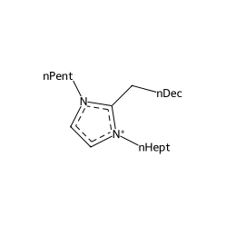 CCCCCCCCCCCc1n(CCCCC)cc[n+]1CCCCCCC